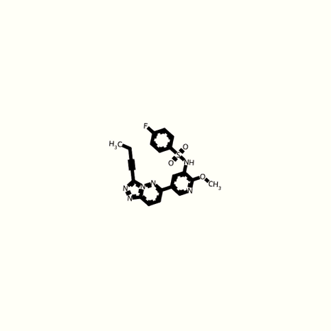 CCC#Cc1nnc2ccc(-c3cnc(OC)c(NS(=O)(=O)c4ccc(F)cc4)c3)nn12